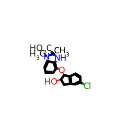 CN1c2cccc(O[C@@H]3c4ccc(Cl)cc4C[C@H]3O)c2NC1(C)C(=O)O